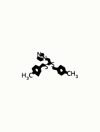 Cc1ccc(CSC(Cn2ccnc2)SCc2ccc(C)cc2)cc1